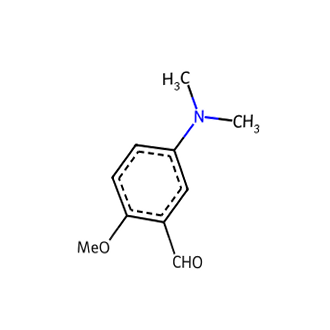 COc1ccc(N(C)C)cc1C=O